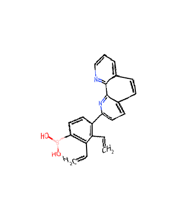 C=Cc1c(B(O)O)ccc(-c2ccc3ccc4cccnc4c3n2)c1C=C